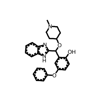 CN1CCC(OC(c2nc3ccccc3[nH]2)c2cc(Oc3ccccc3)ccc2O)CC1